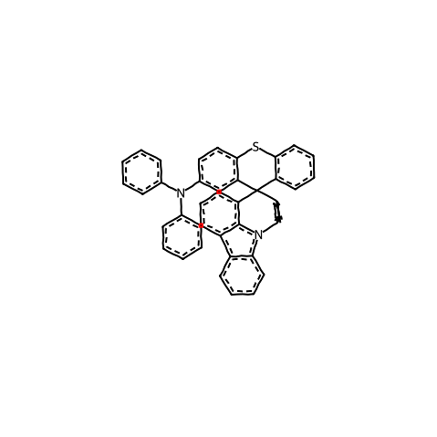 c1ccc(N(c2ccccc2)c2ccc3c(c2)C2(c4ccccc4S3)c3ccccc3-n3c4ccccc4c4cccc2c43)cc1